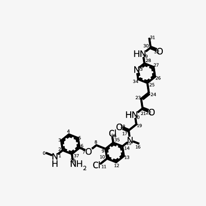 CNc1cccc(OCc2c(Cl)ccc(N(C)C(=O)CNC(=O)/C=C/c3ccc(NC(C)=O)nc3)c2Cl)c1N